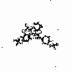 CC(C(=O)N[C@H]1CC[C@H](OC(F)(F)F)CC1)(c1cncnc1)N(C(=O)[C@H](F)Cl)c1ccc(OC(F)(F)F)cc1